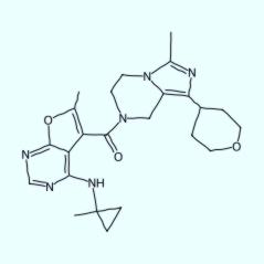 Cc1oc2ncnc(NC3(C)CC3)c2c1C(=O)N1CCn2c(C)nc(C3CCOCC3)c2C1